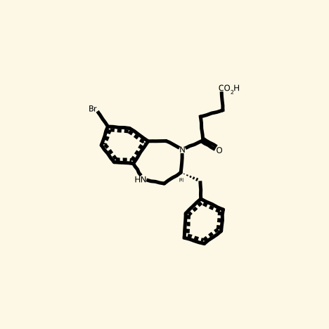 O=C(O)CCC(=O)N1Cc2cc(Br)ccc2NC[C@H]1Cc1ccccc1